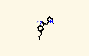 CCCc1ccc2[nH]cc(CC3CCCN3C)c2c1